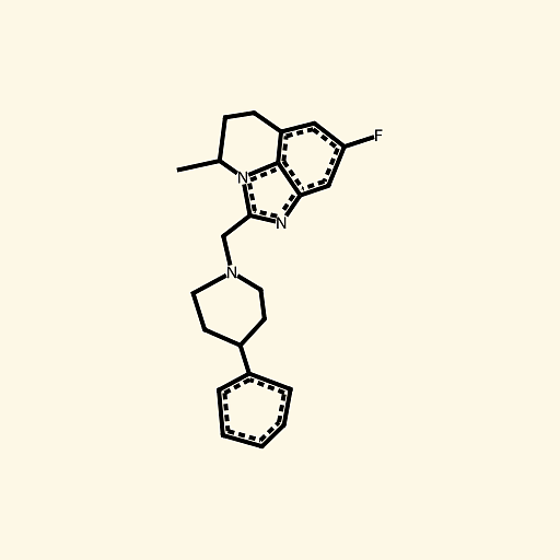 CC1CCc2cc(F)cc3nc(CN4CCC(c5ccccc5)CC4)n1c23